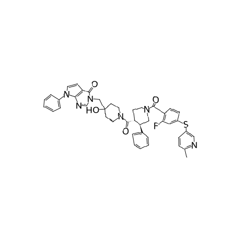 Cc1ccc(Sc2ccc(C(=O)N3CC[C@@H](C(=O)N4CCC(O)(Cn5cnc6c(ccn6-c6ccccc6)c5=O)CC4)[C@H](c4ccccc4)C3)c(F)c2)cn1